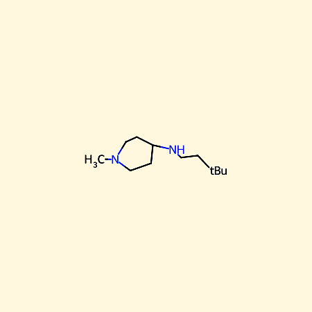 CN1CCC(NCCC(C)(C)C)CC1